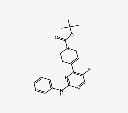 CC(C)(C)OC(=O)N1CC=C(c2nc(Nc3ccccc3)ncc2F)CC1